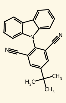 CC(C)(C)c1cc(C#N)c(-n2c3ccccc3c3ccccc32)c(C#N)c1